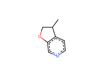 CC1COc2cnccc21